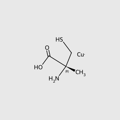 C[C@](N)(CS)C(=O)O.[Cu]